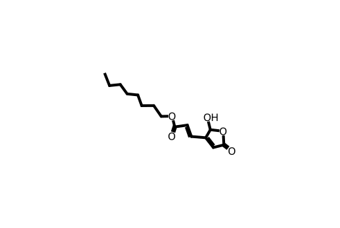 CCCCCCCCOC(=O)C=CC1=CC(=O)OC1O